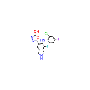 Oc1nnc(-c2cc3c(c(F)c2Nc2ccc(I)cc2Cl)CNC3)o1